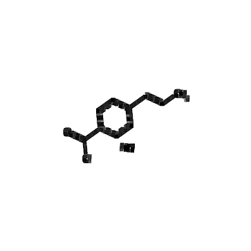 C/C=C/c1ccc(C(=O)Cl)cc1.Cl